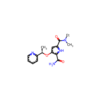 CCN(C)C(=O)c1cc(O[C@H](C)c2ccccn2)c(C(N)=O)[nH]1